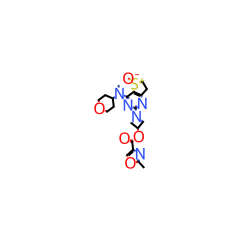 Cc1nc(C(=O)OC2CN(c3nc4c(c(N(C)C5CCOCC5)n3)[S+]([O-])CC4)C2)co1